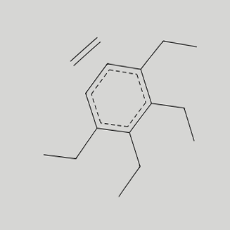 C=C.CCc1ccc(CC)c(CC)c1CC